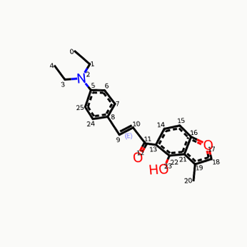 CCN(CC)c1ccc(/C=C/C(=O)c2ccc3occ(C)c3c2O)cc1